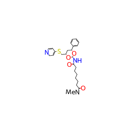 CNC(=O)CCCCCCC(=O)NC1OC(CSc2ccncc2)CC(c2ccccc2)O1